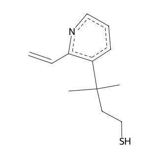 C=Cc1ncccc1C(C)(C)CCS